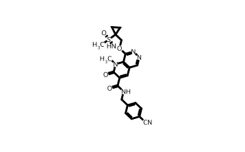 Cn1c(=O)c(C(=O)NCc2ccc(C#N)cc2)cc2cnnc(OCC3(S(C)(=N)=O)CC3)c21